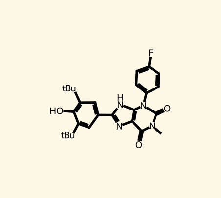 Cn1c(=O)c2nc(-c3cc(C(C)(C)C)c(O)c(C(C)(C)C)c3)[nH]c2n(-c2ccc(F)cc2)c1=O